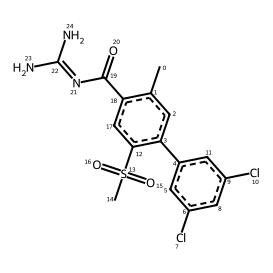 Cc1cc(-c2cc(Cl)cc(Cl)c2)c(S(C)(=O)=O)cc1C(=O)N=C(N)N